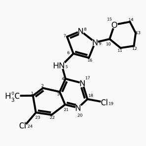 Cc1cc2c(Nc3cnn(C4CCCCO4)c3)nc(Cl)nc2cc1Cl